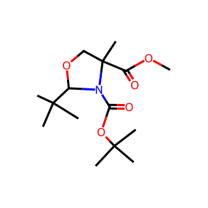 COC(=O)C1(C)COC(C(C)(C)C)N1C(=O)OC(C)(C)C